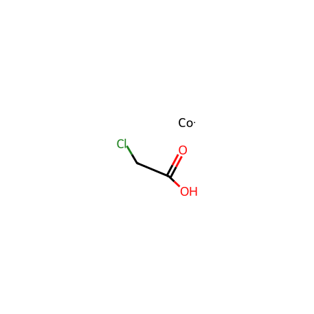 O=C(O)CCl.[Co]